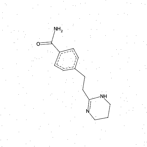 NC(=O)c1ccc(CCC2=NCCCN2)cc1